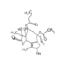 CCCC(=O)OC1CC(C)(OC(C)=O)C2CC(O)C(C)=C2C2OC(=O)C(C)(O)C12O